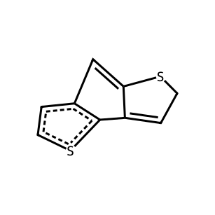 C1=C2SCC=C2c2sccc21